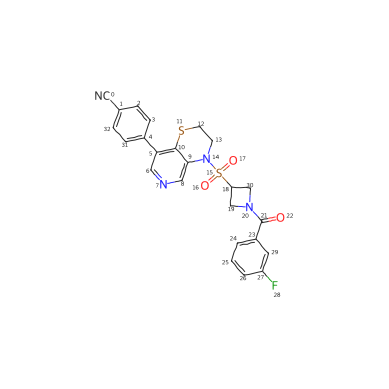 N#Cc1ccc(-c2cncc3c2SCCN3S(=O)(=O)C2CN(C(=O)c3cccc(F)c3)C2)cc1